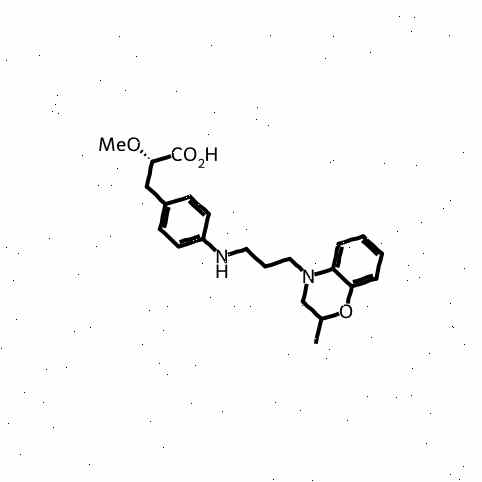 CO[C@@H](Cc1ccc(NCCCN2CC(C)Oc3ccccc32)cc1)C(=O)O